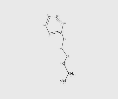 CCCC[SiH2]OCCCc1ccccc1